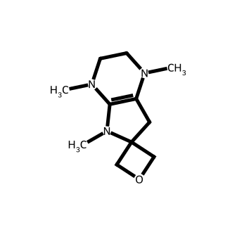 CN1CCN(C)C2=C1CC1(COC1)N2C